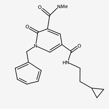 CNC(=O)c1cc(C(=O)NCCC2CC2)cn(Cc2ccccc2)c1=O